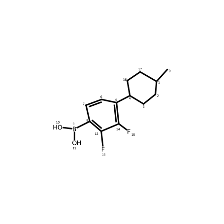 CC1CCC(c2ccc(B(O)O)c(F)c2F)CC1